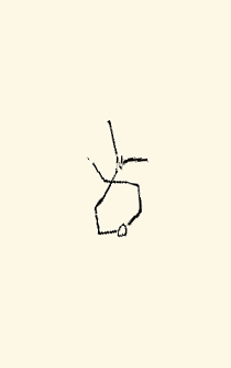 [CH2]C1(N(C)C)CCOCC1